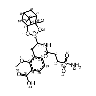 COc1c(CC(NC(=O)CCS(N)(=O)=O)B2OC3CC4CC(C4(C)C)C3(C)O2)cccc1C(=O)O